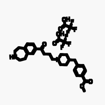 COC(=O)c1ccc(CC2CCN(CCCC(=O)c3ccc4c(c3)CCNCC4)CC2)cc1.O=C(O)C(F)(F)F.O=C(O)C(F)(F)F